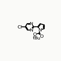 CC(C)(C)OC(=O)n1cccc1-c1ncc(Cl)cn1